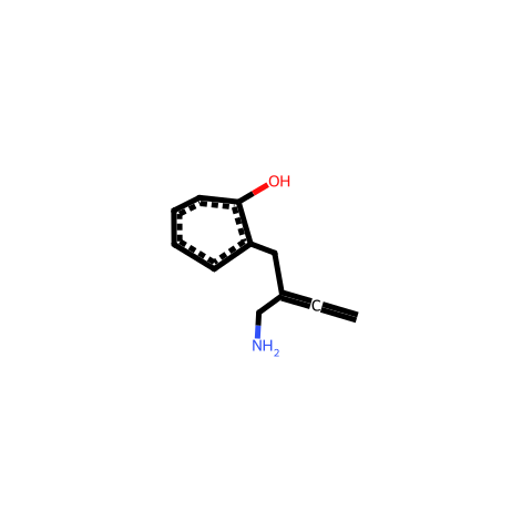 C=C=C(CN)Cc1ccccc1O